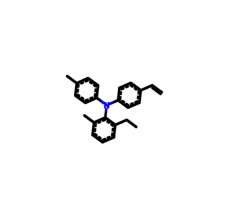 C=Cc1ccc(N(c2ccc(C)cc2)c2c(C)cccc2CC)cc1